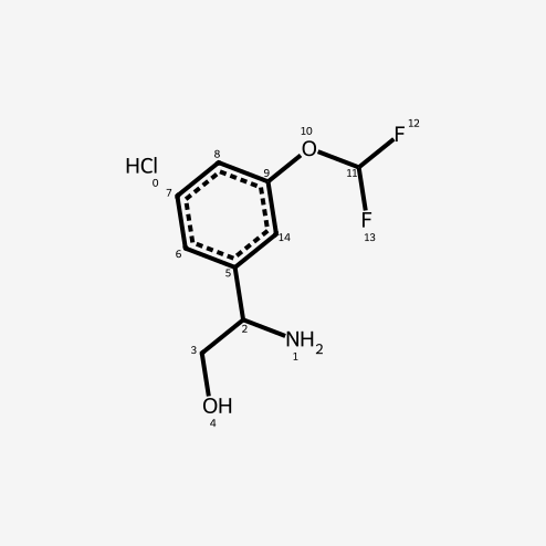 Cl.NC(CO)c1cccc(OC(F)F)c1